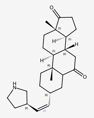 C[C@]12CC[C@@H](/C=C\[C@H]3CCNC3)CC1C(=O)C[C@@H]1[C@@H]2CC[C@]2(C)C(=O)CC[C@@H]12